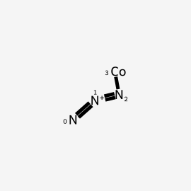 [N-]=[N+]=[N][Co]